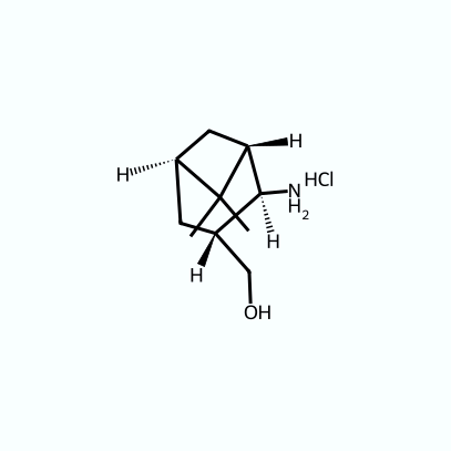 CC1(C)[C@H]2C[C@@H](CO)[C@H](N)[C@H]1C2.Cl